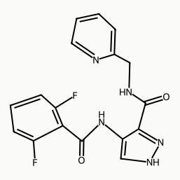 O=C(NCc1ccccn1)c1n[nH]cc1NC(=O)c1c(F)cccc1F